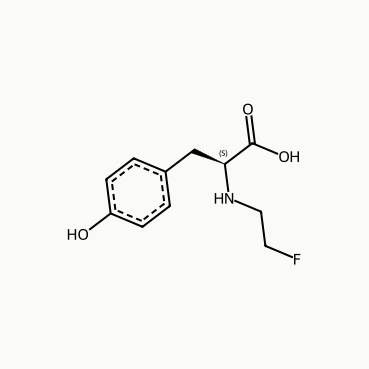 O=C(O)[C@H](Cc1ccc(O)cc1)NCCF